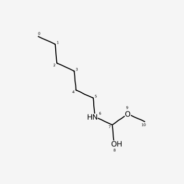 CCCCCCNC(O)OC